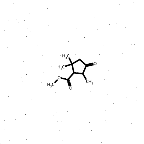 COC(=O)C1C(C)C(=O)CC1(C)C